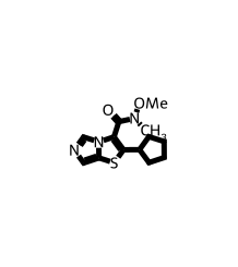 CON(C)C(=O)c1c(C2CCCC2)sc2cncn12